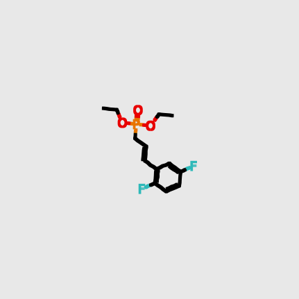 CCOP(=O)(C/C=C/c1cc(F)ccc1F)OCC